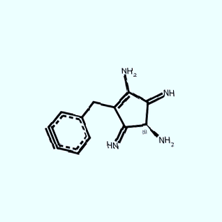 N=C1C(N)=C(Cc2cc#ccc2)C(=N)[C@@H]1N